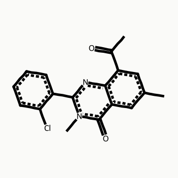 CC(=O)c1cc(C)cc2c(=O)n(C)c(-c3ccccc3Cl)nc12